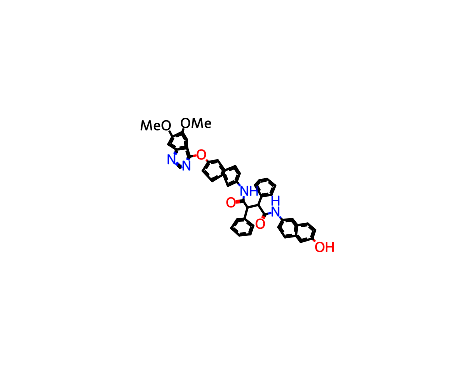 COc1cc2ncnc(Oc3ccc4cc(NC(=O)C(c5ccccc5)C(C(=O)Nc5ccc6cc(O)ccc6c5)c5ccccc5)ccc4c3)c2cc1OC